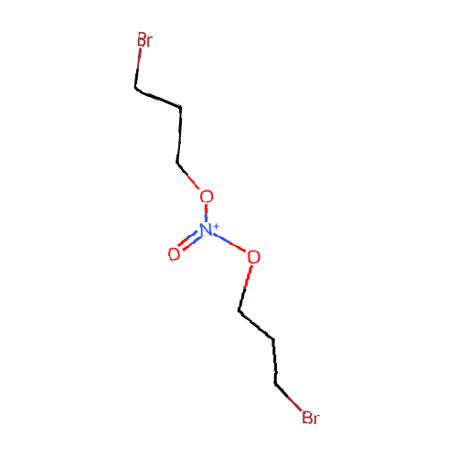 O=[N+](OCCCBr)OCCCBr